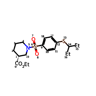 CCOC(=O)[C@@H]1CCCN(S(=O)(=O)c2ccc(SC(CC)CC)cc2)C1